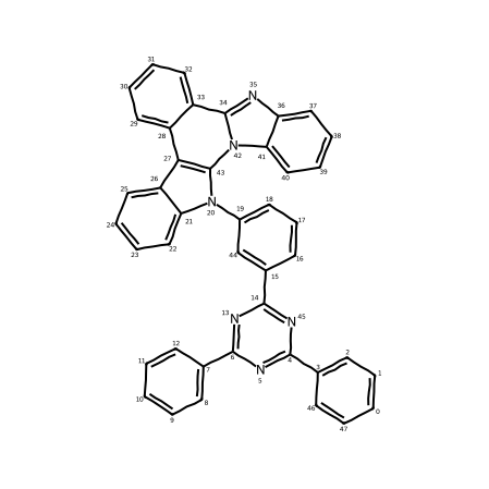 c1ccc(-c2nc(-c3ccccc3)nc(-c3cccc(-n4c5ccccc5c5c6ccccc6c6nc7ccccc7n6c54)c3)n2)cc1